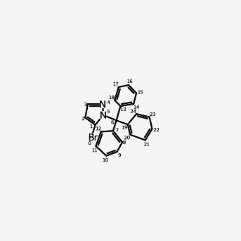 Brc1ccnn1C(c1ccccc1)(c1ccccc1)c1ccccc1